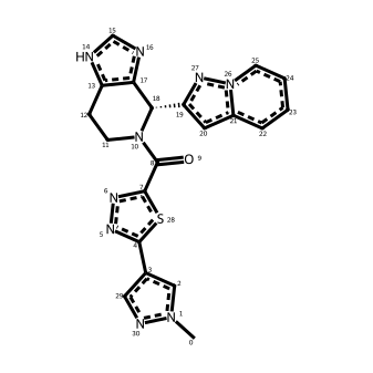 Cn1cc(-c2nnc(C(=O)N3CCc4[nH]cnc4[C@@H]3c3cc4ccccn4n3)s2)cn1